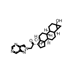 C[C@]12CC[C@@H]3[C@H]4CC[C@]5(O)CC5[C@H]4CC[C@H]3[C@@H]1CC[C@@H]2C(=O)Cn1cc2ncncc2n1